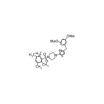 COc1cc(Cc2csc(N3CCN(S(=O)(=O)c4c(C)c(C)cc(C)c4C)CC3)n2)cc(OC)c1